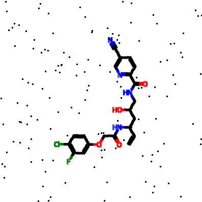 C=CC(CC(O)CNC(=O)c1ccc(C#N)cn1)NC(=O)COc1ccc(Cl)c(F)c1